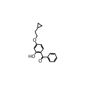 O=C(c1ccccc1)c1ccc(OCCC2CC2)cc1O